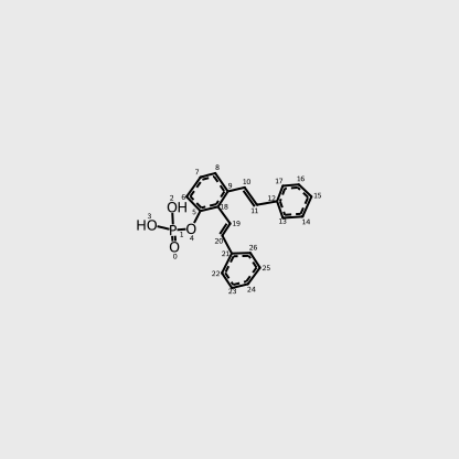 O=P(O)(O)Oc1cccc(/C=C/c2ccccc2)c1/C=C/c1ccccc1